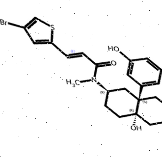 CN(C(=O)/C=C/c1cc(Br)cs1)[C@@H]1CC[C@]2(O)CN(CC3CC3)CC[C@@]2(c2cccc(O)c2)C1